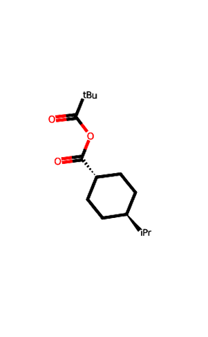 CC(C)[C@H]1CC[C@H](C(=O)OC(=O)C(C)(C)C)CC1